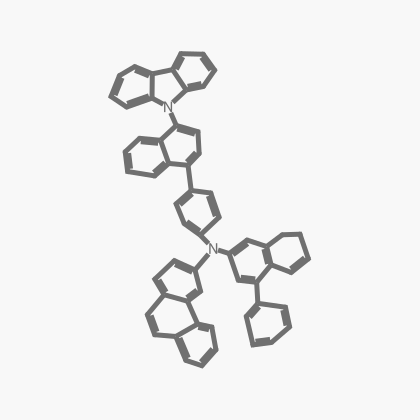 C1=Cc2c(cc(N(c3ccc(-c4ccc(-n5c6ccccc6c6ccccc65)c5ccccc45)cc3)c3ccc4ccc5ccccc5c4c3)cc2-c2ccccc2)CC1